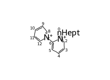 CCCCCCC[n+]1ccccc1-[n+]1ccccc1